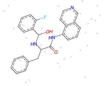 O=C(Nc1cccc2cnccc12)C(Cc1ccccc1)NC(O)c1ccccc1F